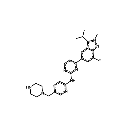 CC(C)c1c2cc(-c3ccnc(Nc4ccc(CN5CCNCC5)cn4)n3)cc(F)c2nn1C